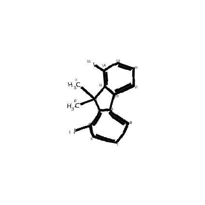 CC1(C)c2c(I)cccc2-c2cccc(I)c21